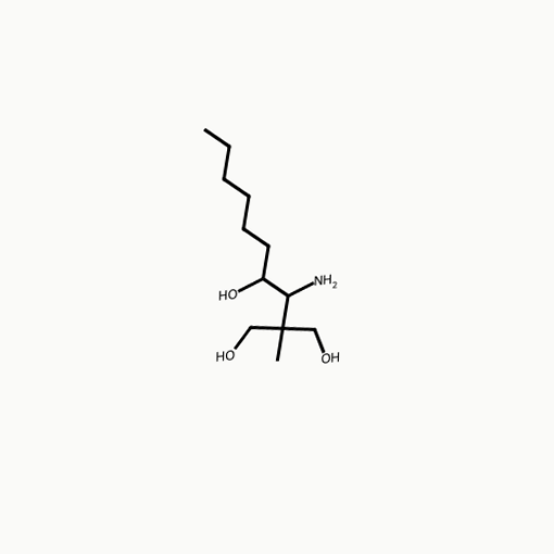 CCCCCCC(O)C(N)C(C)(CO)CO